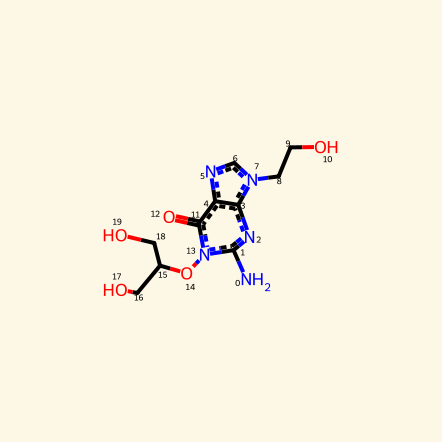 Nc1nc2c(ncn2CCO)c(=O)n1OC(CO)CO